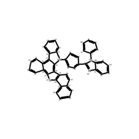 c1ccc(-n2c(-c3ccc(-n4c5ccccc5c5c6ccccc6c6sc7c8ccccc8ccc7c6c54)cc3)nc3ccccc32)cc1